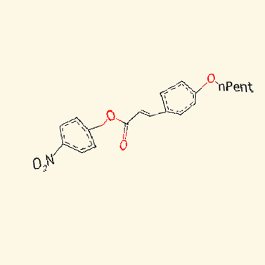 CCCCCOc1ccc(/C=C/C(=O)Oc2ccc([N+](=O)[O-])cc2)cc1